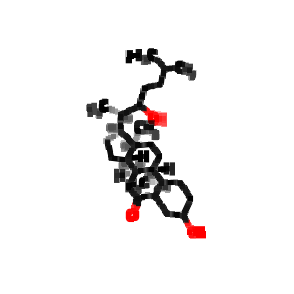 CC(C)CCC(O)[C@@H](C)[C@H]1CC[C@H]2[C@@H]3CC(=O)C4CC(O)CC[C@]4(C)[C@H]3CC[C@]12C